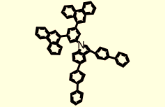 c1ccc(-c2ccc(-c3ccc4c(c3)c(-c3ccc(-c5ccccc5)cc3)cn4-c3cc(-c4cc5ccccc5c5ccccc45)cc(-c4cc5ccccc5c5ccccc45)c3)cc2)cc1